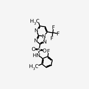 Cc1cc(C(F)(F)F)n2nc(S(=O)(=O)Nc3c(C)cccc3F)nc2n1